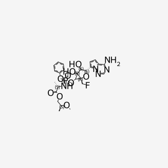 CO[C@@H](C)COC(=O)[C@H](C)N[P@@](=O)(Oc1ccccc1)OC1[C@@]2(CF)O[C@@H](c3ccc4c(N)ncnn34)[C@H](O)[C@@]12O